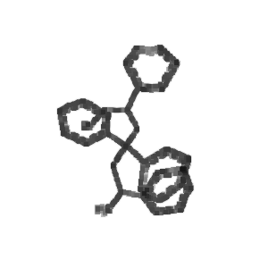 CC(CC(CC(CBr)c1ccccc1)(c1ccccc1)c1ccccc1)c1ccccc1